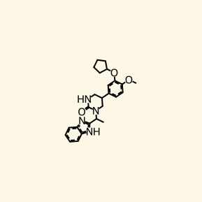 COc1ccc(C2CNC(=O)N(C(C)c3nc4ccccc4[nH]3)C2)cc1OC1CCCC1